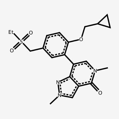 CCS(=O)(=O)Cc1ccc(OCC2CC2)c(-c2cn(C)c(=O)c3cn(C)nc23)c1